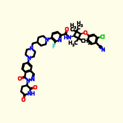 CC1(C)[C@H](NC(=O)c2ccc(N3CCC(CN4CCN(c5ccc6c(=O)n(C7CCC(=O)NC7=O)ncc6c5)CC4)CC3)c(F)n2)C(C)(C)[C@H]1Oc1ccc(C#N)c(Cl)c1